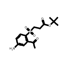 CC(=O)c1cc(N)ccc1S(=O)(=O)CCC(=O)OC(C)(C)C